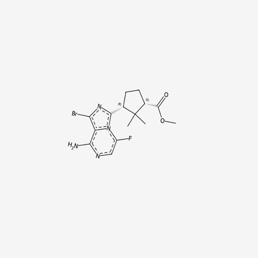 COC(=O)[C@H]1CC[C@@H](c2nc(Br)c3c(N)ncc(F)n23)C1(C)C